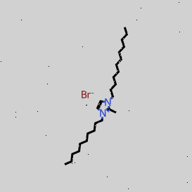 CCCCCCCCCCCCn1cc[n+](CCCCCCCCCC)c1C.[Br-]